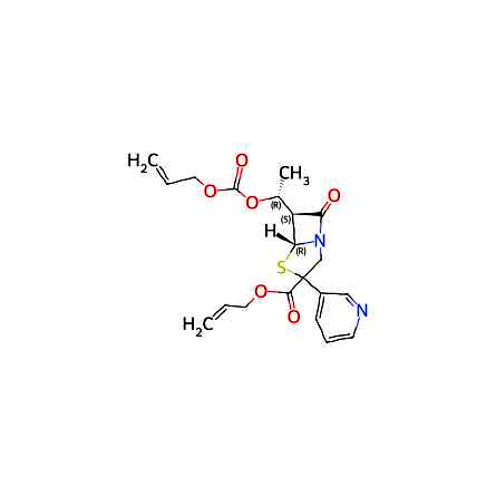 C=CCOC(=O)O[C@H](C)[C@H]1C(=O)N2CC(C(=O)OCC=C)(c3cccnc3)S[C@H]12